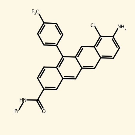 CC(C)NC(=O)c1ccc2c(-c3ccc(C(F)(F)F)cc3)c3cc4c(Cl)c(N)ccc4cc3cc2c1